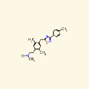 CCN(C)CCc1cc(C)c(Cc2nc(-c3ccc(C)cc3)ns2)cc1C